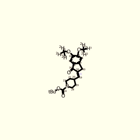 [2H]C([2H])([2H])Oc1cc2c(cc1OC([2H])([2H])[2H])C(=O)/C(=C\C1CCN(C(=O)OC(C)(C)C)CC1)C2